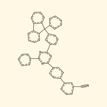 N#Cc1cccc(-c2ccc(-c3cc(-c4cccc(C5(c6ccccc6)c6ccccc6-c6ccccc65)c4)nc(-c4ccccc4)n3)cc2)c1